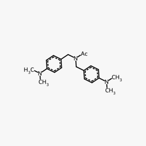 CC(=O)N(Cc1ccc(N(C)C)cc1)Cc1ccc(N(C)C)cc1